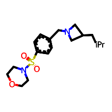 CC(C)CC1CN(Cc2ccc(S(=O)(=O)N3CCOCC3)cc2)C1